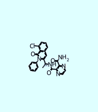 C[C@H](NC(=O)c1nccnc1C(N)=O)c1cc2cccc(Cl)c2c(=O)n1-c1ccccc1